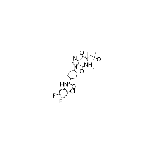 COC(C)(C)CNC(=O)c1ncn([C@H]2CC[C@H](C(=O)Nc3cc(F)c(F)cc3Cl)CC2)c1C(N)=O